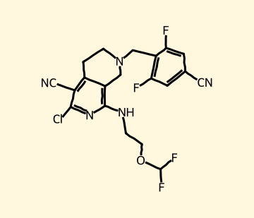 N#Cc1cc(F)c(CN2CCc3c(C#N)c(Cl)nc(NCCOC(F)F)c3C2)c(F)c1